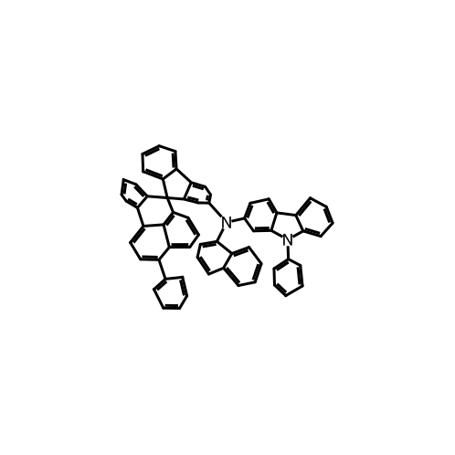 c1ccc(-c2ccc3c4c(cccc24)C2(c4ccccc4-c4ccc(N(c5ccc6c7ccccc7n(-c7ccccc7)c6c5)c5cccc6ccccc56)cc42)c2ccccc2-3)cc1